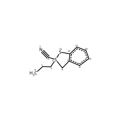 CCCS1(C#N)Cc2ccccc2S1